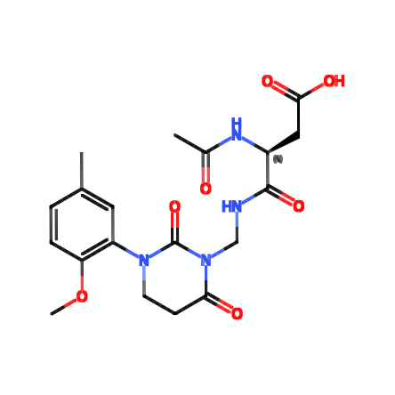 COc1ccc(C)cc1N1CCC(=O)N(CNC(=O)[C@H](CC(=O)O)NC(C)=O)C1=O